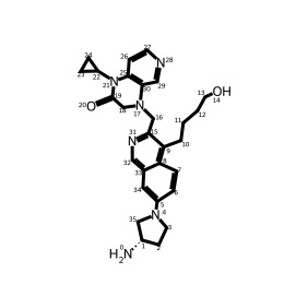 N[C@H]1CCN(c2ccc3c(CCCCO)c(CN4CC(=O)N(C5CC5)c5ccncc54)ncc3c2)C1